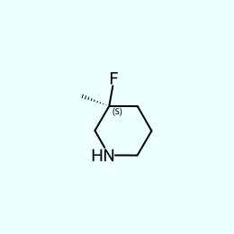 C[C@]1(F)CCCNC1